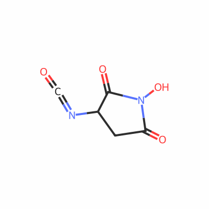 O=C=NC1CC(=O)N(O)C1=O